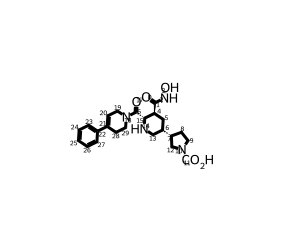 O=C(NO)[C@H]1CC([C@@H]2CCN(C(=O)O)C2)CN[C@@H]1C(=O)N1CC=C(c2ccccc2)CC1